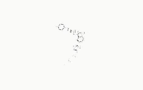 CCN1CCN(Cc2csc(-c3ccc4c(c3)c(C(=O)N/N=C/c3ccc(C)cc3)cn4CC)n2)CC1